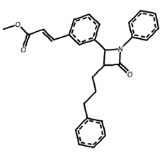 COC(=O)C=Cc1cccc(C2C(CCCc3ccccc3)C(=O)N2c2ccccc2)c1